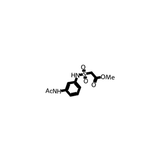 COC(=O)CS(=O)(=O)Nc1cccc(NC(C)=O)c1